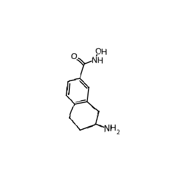 NC1CCc2ccc(C(=O)NO)cc2C1